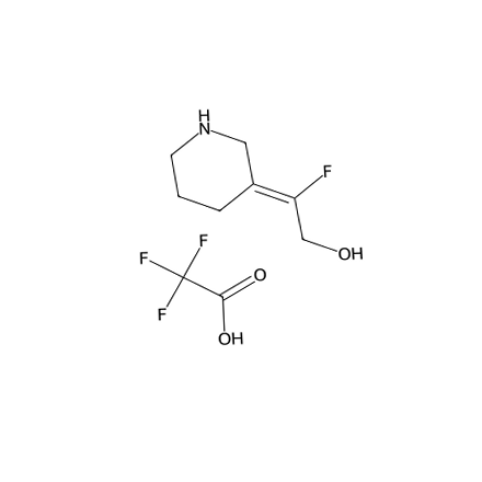 O=C(O)C(F)(F)F.OC/C(F)=C1\CCCNC1